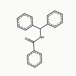 O=C(NC(c1ccccc1)c1ccccc1)c1ccccc1